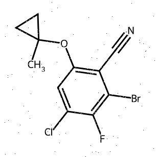 CC1(Oc2cc(Cl)c(F)c(Br)c2C#N)CC1